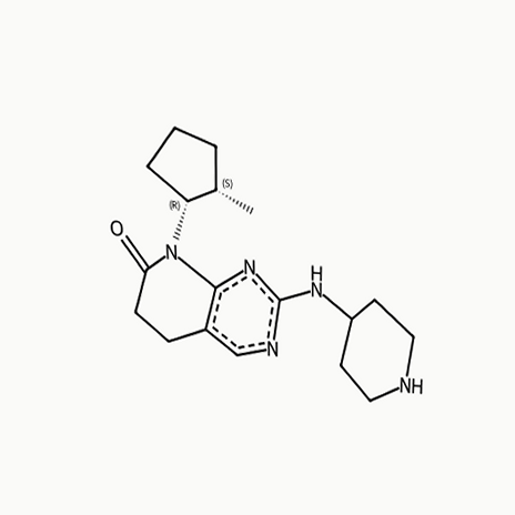 C[C@H]1CCC[C@H]1N1C(=O)CCc2cnc(NC3CCNCC3)nc21